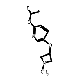 CN1CC(Oc2ccc(OC(F)F)nc2)C1